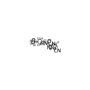 Cc1cc(C#N)n2cnc(C(=O)NCC3CCC(c4ccco4)CC3)c2n1